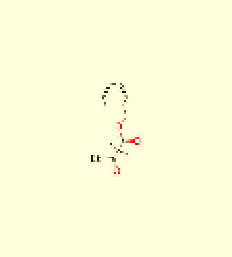 CCC(=O)C(C)(C)C(=O)OCc1ccccc1